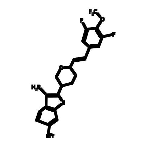 CCCc1ccc2c(P)c(C3CCC(/C=C/c4cc(F)c(OC(F)(F)F)c(F)c4)OC3)sc2c1